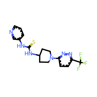 FC(F)(F)c1ccc(N2CCC(NC(=S)Nc3cccnc3)CC2)nn1